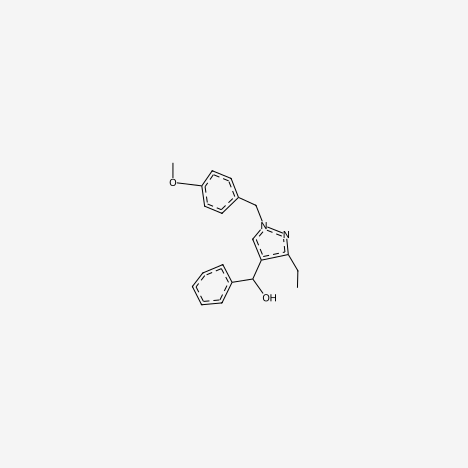 CCc1nn(Cc2ccc(OC)cc2)cc1C(O)c1ccccc1